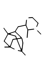 CC1C(CC2C3CC4(C)CC(C)(C3)CC2(C)C4)OCCN1C